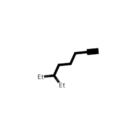 C#CCCCC(C[CH2])CC